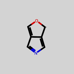 [CH]1OC=C2C=NC=C12